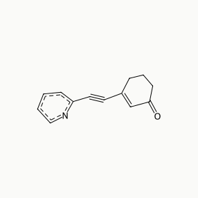 O=C1C=C(C#Cc2ccccn2)CCC1